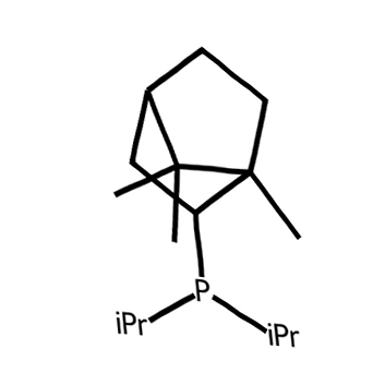 CC(C)P(C(C)C)C1CC2CCC1(C)C2(C)C